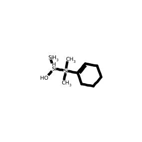 C[Si](C)(C1=CCCCC1)[SiH](O)[SiH3]